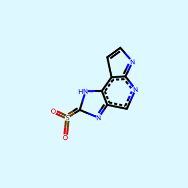 O=S(=O)=C1N=c2cnc3c(c2N1)C=CN=3